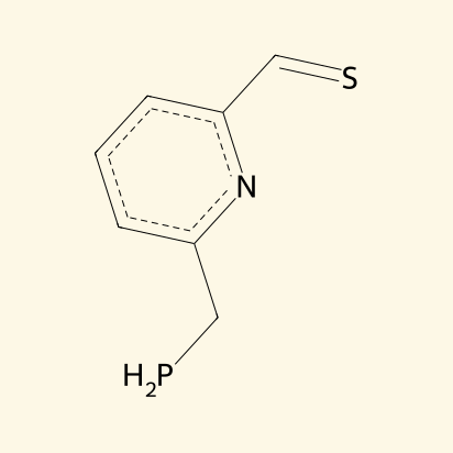 PCc1cccc(C=S)n1